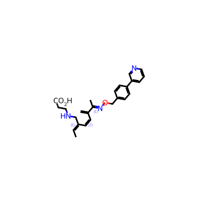 C=C(/C=C\C(=C/C)CNCCC(=O)O)/C(C)=N/OCc1ccc(-c2cccnc2)cc1